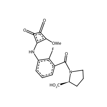 COc1c(Nc2cccc(C(=O)N3CCC[C@H]3C(=O)O)c2F)c(=O)c1=O